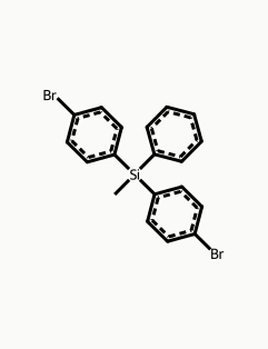 C[Si](c1ccccc1)(c1ccc(Br)cc1)c1ccc(Br)cc1